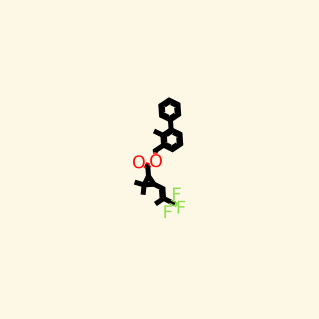 C/C(=C\C1C(C(=O)OCc2cccc(-c3ccccc3)c2C)C1(C)C)C(F)(F)F